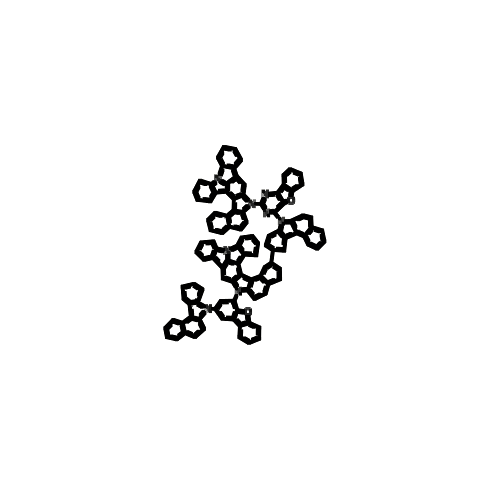 c1ccc2c(c1)ccc1c2c2ccccc2n1-c1cc(-n2c3ccc4ccc(-c5ccc6c(c5)c5c7ccccc7ccc5n6-c5nc(-n6c7ccc8ccccc8c7c7c8c9ccccc9n9c%10ccccc%10c(cc76)c89)nc6c5oc5ccccc56)cc4c3c3c4c5ccccc5n5c6ccccc6c(cc32)c45)c2oc3ccccc3c2c1